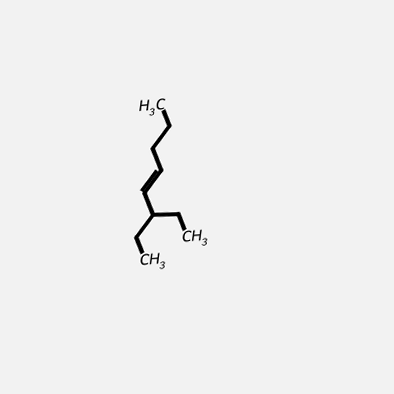 CCCC=CC(CC)CC